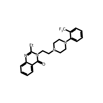 CCc1nc2ccccc2c(=O)n1CCN1CCN(c2ccccc2C(F)(F)F)CC1